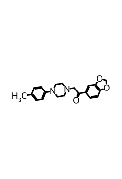 Cc1ccc(N2CCN(CC(=O)c3ccc4c(c3)OCO4)CC2)cc1